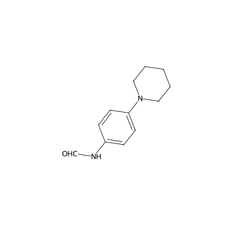 O=CNc1ccc(N2CCCCC2)cc1